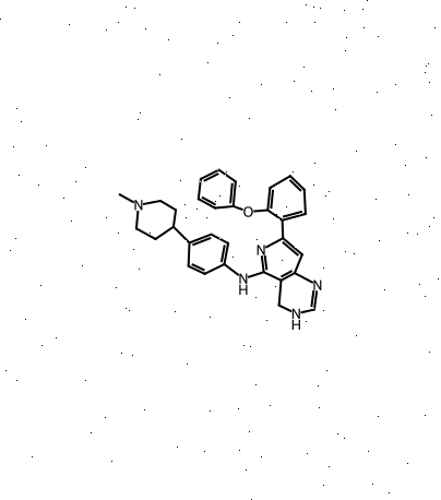 CN1CCC(c2ccc(Nc3nc(-c4ccccc4Oc4ccccc4)cc4c3CNC=N4)cc2)CC1